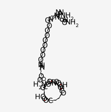 CO[C@H]1C[C@@H]2CC[C@@H](C)[C@@](O)(O2)C(=O)C(=O)N2CCCC[C@H]2C(=O)O[C@H]([C@H](N)C[C@@H]2CC[C@@H](OCCCCc3cn(CCOCCOCCOCCOCCOCCOCCOCCOCCC(=O)N4CCC(Cn5nc(-c6ccc7oc(N)nc7c6)c6c(N)ncnc65)CC4)nn3)[C@H](OC)C2)CC(=O)[C@H](C)/C=C(\C)[C@@H](O)[C@@H](OC)C(=O)[C@H](C)C[C@H](C)/C=C/C=C/C=C/1C